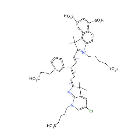 CC1(C)C2=CC(Cl)=CN(CCCCS(=O)(=O)O)C2=N/C1=C/C=C(/C=C/C1=[N+](CCCCS(=O)(=O)O)c2ccc3c(S(=O)(=O)O)cc(S(=O)(=O)O)cc3c2C1(C)C)c1cccc(CCC(=O)O)c1